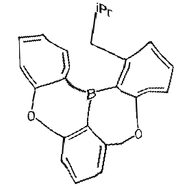 CC(C)Cc1cccc2c1B1c3ccccc3Oc3cccc(c31)O2